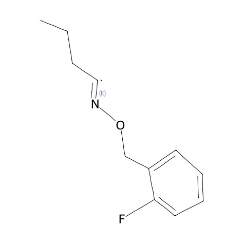 CCC/[C]=N/OCc1ccccc1F